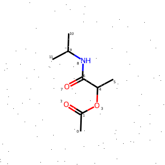 CC(=O)OC(C)C(=O)NC(C)C